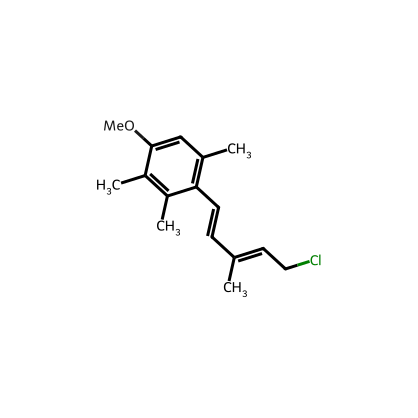 COc1cc(C)c(C=CC(C)=CCCl)c(C)c1C